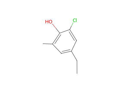 CCc1cc(C)c(O)c(Cl)c1